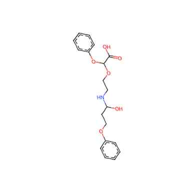 O=C(O)C(OCCNC(O)CCOc1ccccc1)Oc1ccccc1